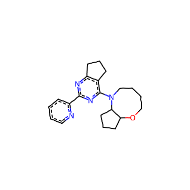 c1ccc(-c2nc3c(c(N4CCCCOC5CCCC54)n2)CCC3)nc1